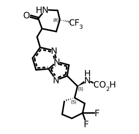 O=C(O)N[C@H](c1cn2nc(CC3C[C@@H](C(F)(F)F)CNC3=O)ccc2n1)[C@H]1CCCC(F)(F)C1